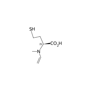 C=CN(C)[C@@H](CCS)C(=O)O